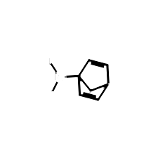 [I][Ru]([I])[C]12C=CC(C=C1)C2